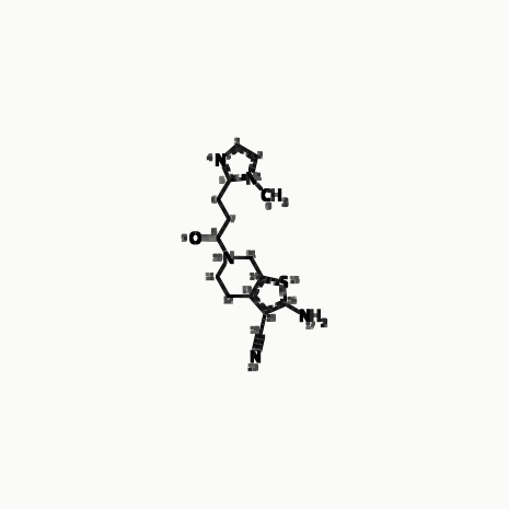 Cn1ccnc1CCC(=O)N1CCc2c(sc(N)c2C#N)C1